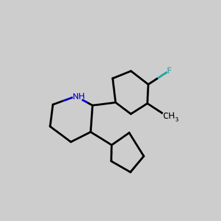 CC1CC(C2NCCCC2C2CCCC2)CCC1F